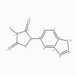 CN1C(=O)CC(c2ccc3sccc3c2)C1=O